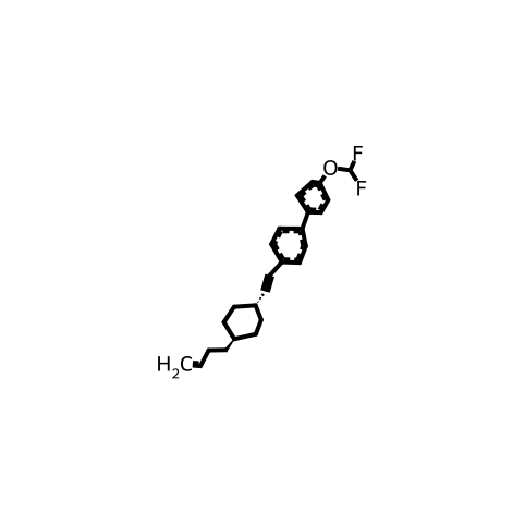 C=CCC[C@H]1CC[C@H](C#Cc2ccc(-c3ccc(OC(F)F)cc3)cc2)CC1